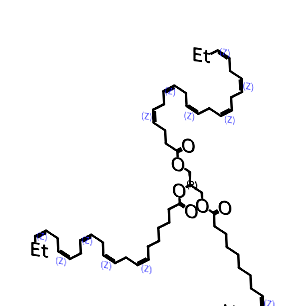 CC/C=C\C/C=C\C/C=C\C/C=C\C/C=C\C/C=C\CCC(=O)OC[C@@H](COC(=O)CCCCCCC/C=C\CCCCCC)OC(=O)CCCCC/C=C\C/C=C\C/C=C\C/C=C\C/C=C\CC